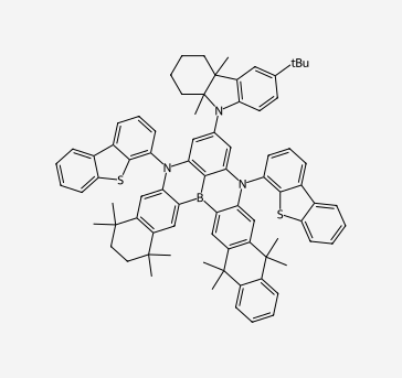 CC(C)(C)c1ccc2c(c1)C1(C)CCCCC1(C)N2c1cc2c3c(c1)N(c1cccc4c1sc1ccccc14)c1cc4c(cc1B3c1cc3c(cc1N2c1cccc2c1sc1ccccc12)C(C)(C)CCC3(C)C)C(C)(C)c1ccccc1C4(C)C